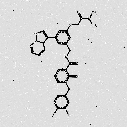 CN(C)C(=O)COc1cc(CNC(=O)c2cccn(Cc3ccc(F)c(F)c3)c2=O)cc(C2=CNC3N=CC=CC23)c1